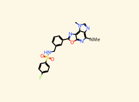 CNc1nc2oc(-c3cccc(CNS(=O)(=O)c4ccc(F)cc4)c3)nc2c2c1ncn2C